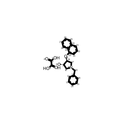 O=C(O)C(=O)O.O[C@H]1CN(Cc2ccccc2)C[C@@H]1Oc1cccc2ccccc12